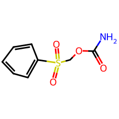 NC(=O)OCS(=O)(=O)c1ccccc1